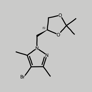 Cc1nn(C[C@H]2COC(C)(C)O2)c(C)c1Br